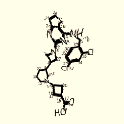 C[C@@H](Nc1nc(N2CC(C3CCCN(C4CC(C(=O)O)C4)C3)C2)nc2ccsc12)c1ccc(Cl)cc1Cl